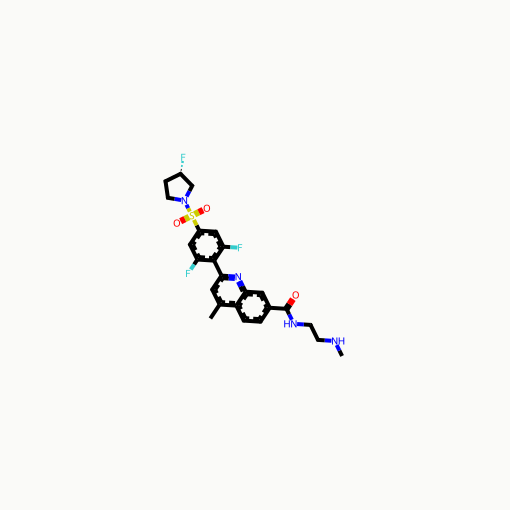 CNCCNC(=O)c1ccc2c(C)cc(-c3c(F)cc(S(=O)(=O)N4CC[C@H](F)C4)cc3F)nc2c1